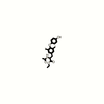 CCOC(=O)C(Cc1cc(I)c(Oc2ccc(O)cc2)c(I)c1)NC(C)=O